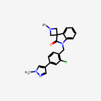 CC(C)N1CC2(C1)C(=O)N(Cc1ccc(-c3cnn(C)c3)cc1F)c1ccccc12